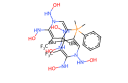 CC(C)(C)C1(NO)C(P(C)(C)(C2=CN(NO)C(NO)=C(C(F)(F)F)C2(NO)C(C)(C)C)c2ccccc2)=CN(NO)C(NO)=C1C(F)(F)F